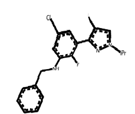 CC(C)n1cc(I)c(-c2cc(Cl)cc(NCc3ccccc3)c2F)n1